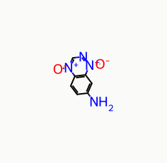 Nc1ccc2c(c1)[n+]([O-])nc[n+]2[O-]